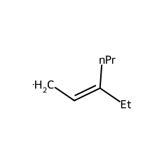 [CH2]C=C(CC)CCC